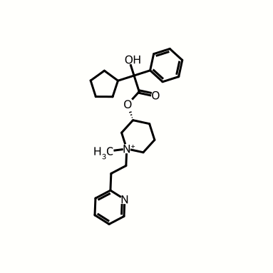 C[N+]1(CCc2ccccn2)CCC[C@@H](OC(=O)C(O)(c2ccccc2)C2CCCC2)C1